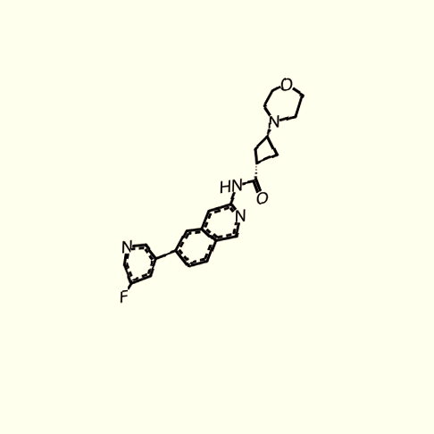 O=C(Nc1cc2cc(-c3cncc(F)c3)ccc2cn1)[C@H]1C[C@H](N2CCOCC2)C1